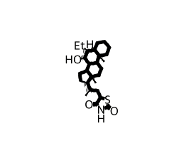 CC[C@H]1[C@@H](O)C2C3CC[C@H]([C@H](C)CC4SC(=O)NC4=O)[C@@]3(C)CCC2[C@@]2(C)CCCC[C@@H]12